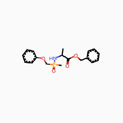 CC(NP(C)(=O)COc1ccccc1)C(=O)OCc1ccccc1